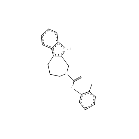 O=C(Nc1ccccc1C(F)(F)F)N1CCCc2c([nH]c3ccccc23)C1